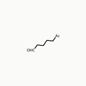 CC(=O)CCCC[C]=O